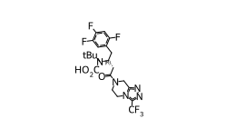 CC(C)(C)N(C(=O)O)[C@@H](CC(=O)N1CCn2c(nnc2C(F)(F)F)C1)Cc1cc(F)c(F)cc1F